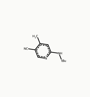 Cc1cc(NC(C)(C)C)ncc1C#N